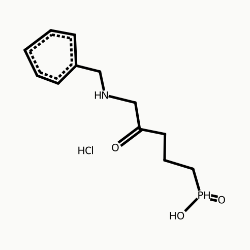 Cl.O=C(CCC[PH](=O)O)CNCc1ccccc1